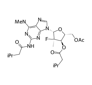 CNc1nc(NC(=O)CC(C)C)nc2c1ncn2[C@@H]1O[C@H](COC(C)=O)[C@@H](OC(=O)CC(C)C)[C@@]1(C)F